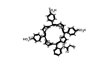 O=C(CBr)Nc1ccccc1-c1c2nc(c(-c3ccc(S(=O)(=O)O)cc3)c3ccc([nH]3)c(-c3ccc(S(=O)(=O)O)cc3)c3nc(c(-c4ccc(S(=O)(=O)O)cc4)c4ccc1[nH]4)C=C3)C=C2